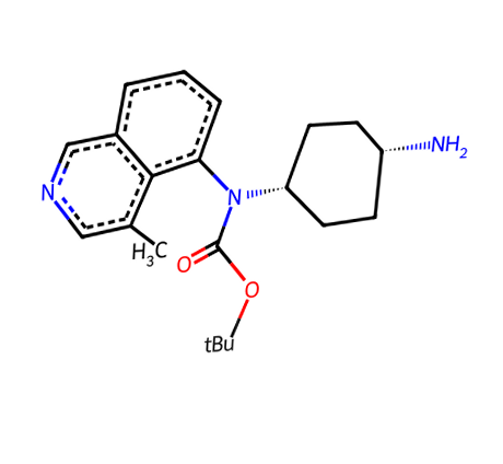 Cc1cncc2cccc(N(C(=O)OC(C)(C)C)[C@H]3CC[C@@H](N)CC3)c12